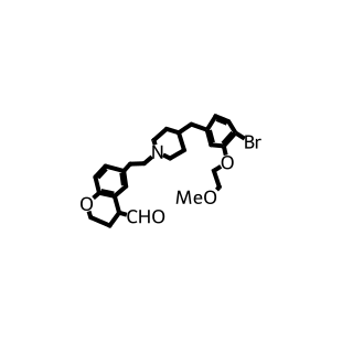 COCCOc1cc(CC2CCN(CCc3ccc4c(c3)C(C=O)CCO4)CC2)ccc1Br